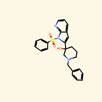 O=S(=O)(c1ccccc1)n1c(C2(O)CCCN(Cc3ccccc3)C2)cc2cccnc21